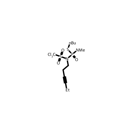 CCC#CCCN(P(=O)(NC)SCCCC)S(=O)(=O)C(Cl)(Cl)Cl